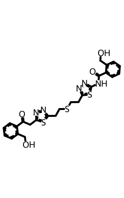 O=C(Cc1nnc(CCSCCc2nnc(NC(=O)c3ccccc3CO)s2)s1)c1ccccc1CO